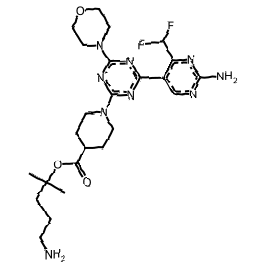 CC(C)(CCCN)OC(=O)C1CCN(c2nc(-c3cnc(N)nc3C(F)F)nc(N3CCOCC3)n2)CC1